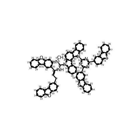 CNC(N/C(=C\Cc1ccc2oc3ccccc3c2c1)c1ccc2oc3ccccc3c2c1)n1c2ccccc2c2c3c(ccc21)c1ccccc1n3-c1nc(-c2ccc3sc4ccccc4c3c2)nc(-c2ccc3sc4ccccc4c3c2)n1